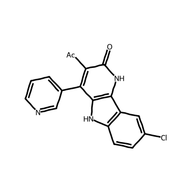 CC(=O)c1c(-c2cccnc2)c2[nH]c3ccc(Cl)cc3c2[nH]c1=O